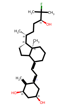 C=C1/C(=C\C=C2CCC[C@@]3(C)C2CC[C@@H]3[C@H](C)CC[C@H](O)C(C)(C)F)C[C@@H](O)C[C@H]1O